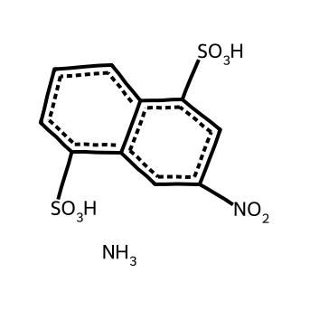 N.O=[N+]([O-])c1cc(S(=O)(=O)O)c2cccc(S(=O)(=O)O)c2c1